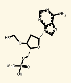 COP(=O)(O)OC[C@H]1O[C@@H](n2cnc3c(N)ncnc32)CC1OCS